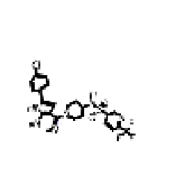 C=Nc1[nH]c(-c2ccc(Cl)cc2)cc1/C(=N\C)N1CCC(NS(=O)(=O)c2ccc(C(F)(F)F)nc2)CC1